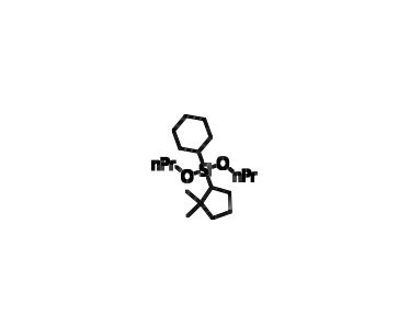 CCCO[Si](OCCC)(C1CCCCC1)C1CCCC1(C)C